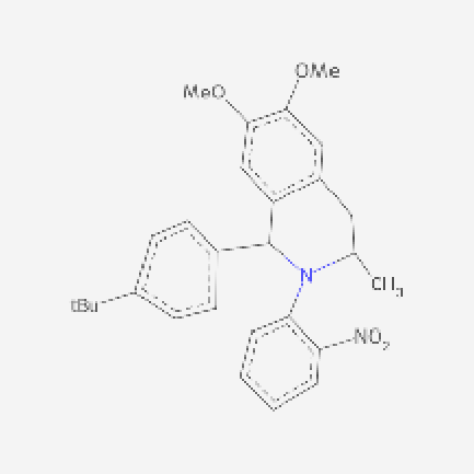 COc1cc2c(cc1OC)C(c1ccc(C(C)(C)C)cc1)N(c1ccccc1[N+](=O)[O-])C(C)C2